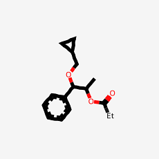 CCC(=O)OC(C)C(OCC1CC1)c1ccccc1